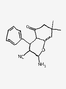 CC1(C)C=C2OC(N)C(C#N)C(c3ccccc3)C2C(=O)C1